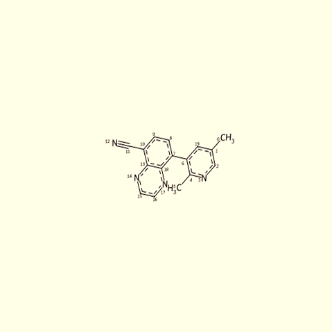 Cc1cnc(C)c(-c2ccc(C#N)c3nccnc23)c1